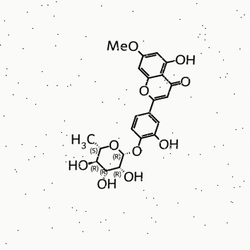 COc1cc(O)c2c(=O)cc(-c3ccc(O[C@H]4O[C@@H](C)[C@H](O)[C@@H](O)[C@H]4O)c(O)c3)oc2c1